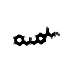 COC(=O)c1ccc(CNCC2CCCCC2)cc1